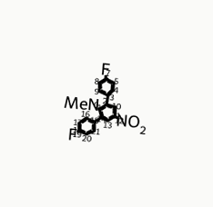 CNc1c(-c2ccc(F)cc2)cc([N+](=O)[O-])cc1-c1ccc(F)cc1